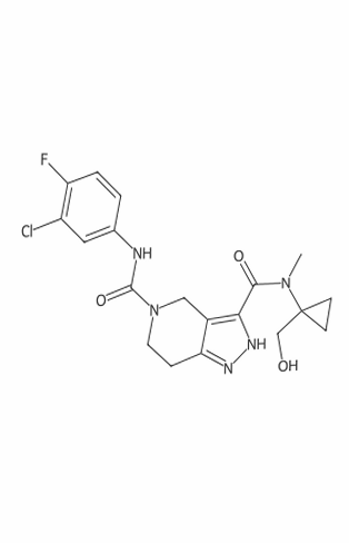 CN(C(=O)c1[nH]nc2c1CN(C(=O)Nc1ccc(F)c(Cl)c1)CC2)C1(CO)CC1